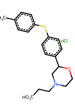 Cc1ccc(Sc2ccc(C3CN(CCC(=O)O)CCO3)cc2)cc1.Cl